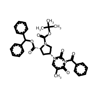 Cc1cn([C@@H]2C[C@H](C(=O)OC(c3ccccc3)c3ccccc3)N(C(=O)OC(C)(C)C)C2)c(=O)n(C(=O)c2ccccc2)c1=O